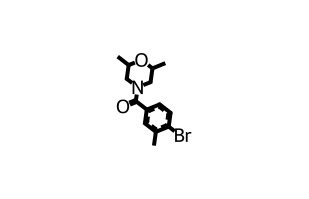 Cc1cc(C(=O)N2CC(C)OC(C)C2)ccc1Br